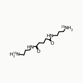 [15NH2]CCCNC(=O)CCCC(=O)NCCC[15NH2]